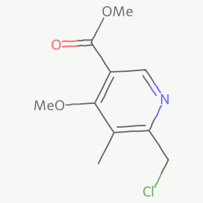 COC(=O)c1cnc(CCl)c(C)c1OC